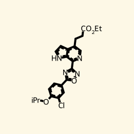 CCOC(=O)CCc1cnc(-c2noc(-c3ccc(OC(C)C)c(Cl)c3)n2)c2[nH]ccc12